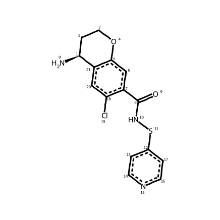 N[C@H]1CCOc2cc(C(=O)NSc3ccncc3)c(Cl)cc21